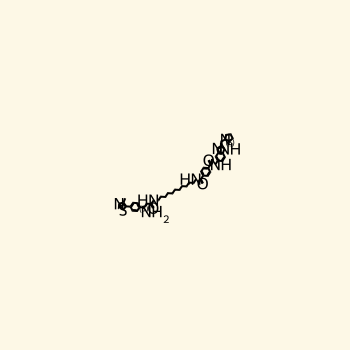 Cc1ncsc1-c1ccc([C@@H](N)CC(=O)NCCCCCCCCCCCNC(=O)c2ccc(C(=O)Nc3ccc4[nH]c(CN5CCC[C@@H]5C)nc4c3)cc2)cc1